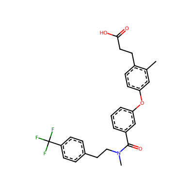 Cc1cc(Oc2cccc(C(=O)N(C)CCc3ccc(C(F)(F)F)cc3)c2)ccc1CCC(=O)O